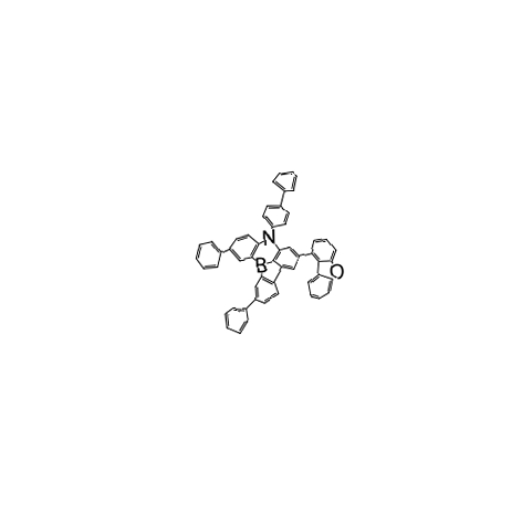 c1ccc(-c2ccc(N3c4ccc(-c5ccccc5)cc4B4c5cc(-c6ccccc6)ccc5-c5cc(-c6cccc7oc8ccccc8c67)cc3c54)cc2)cc1